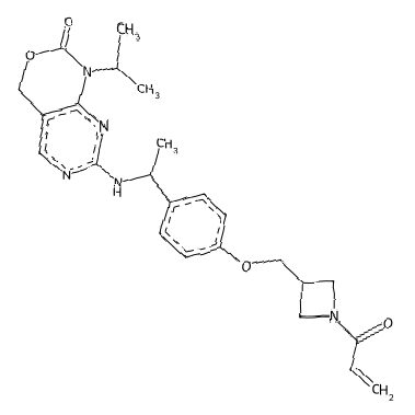 C=CC(=O)N1CC(COc2ccc(C(C)Nc3ncc4c(n3)N(C(C)C)C(=O)OC4)cc2)C1